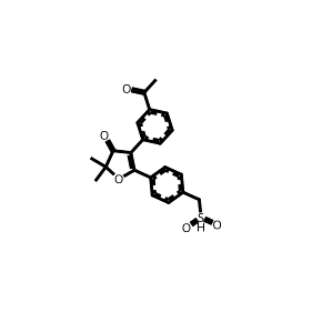 CC(=O)c1cccc(C2=C(c3ccc(C[SH](=O)=O)cc3)OC(C)(C)C2=O)c1